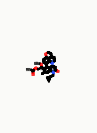 Cc1cc2c(ccc(=O)n2CC2CC2)c(-c2ccc3c4c(ccnc24)CCO3)c1[C@@H](COC(=O)C(C)(C)C)OC(C)(C)C